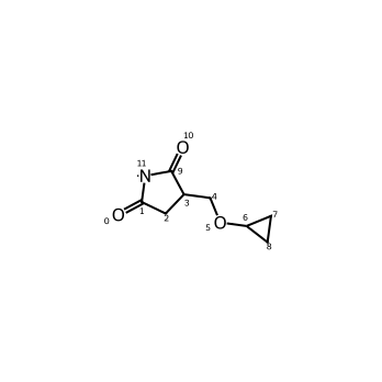 O=C1CC(COC2CC2)C(=O)[N]1